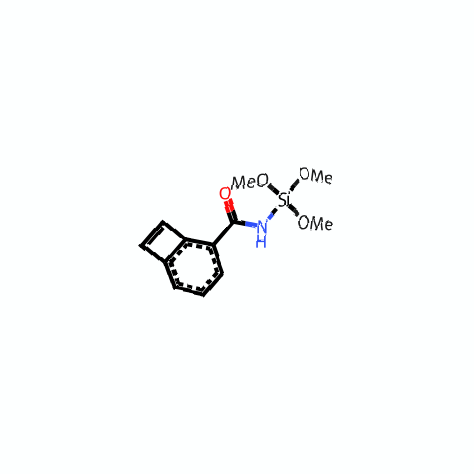 CO[Si](NC(=O)c1cccc2c1C=C2)(OC)OC